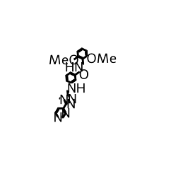 COc1cccc(OC)c1CNC(=O)c1cccc(NCc2nnc(-c3ccncn3)n2C)c1